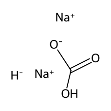 O=C([O-])O.[H-].[Na+].[Na+]